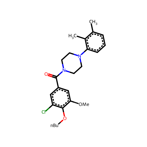 CCCCOc1c(Cl)cc(C(=O)N2CCN(c3cccc(C)c3C)CC2)cc1OC